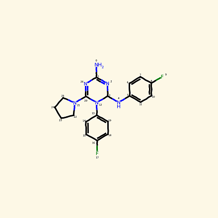 NC1=NC(Nc2ccc(F)cc2)N(c2ccc(F)cc2)C(N2CCCC2)=N1